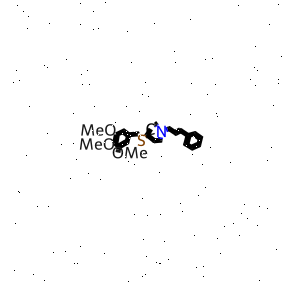 COc1cc(CSC2CCN(CC=Cc3ccccc3)CC2)cc(OC)c1OC